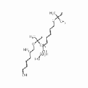 CC(C)(F)OCCCCCCO.CC(C)(F)OCCCCCCO.N.O=S(=O)(O)O